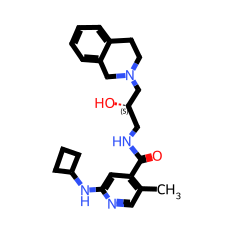 Cc1cnc(NC2CCC2)cc1C(=O)NC[C@H](O)CN1CCc2ccccc2C1